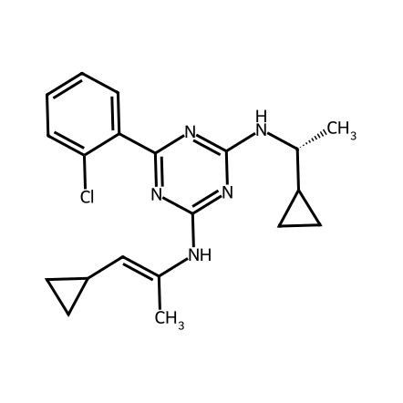 CC(=CC1CC1)Nc1nc(N[C@H](C)C2CC2)nc(-c2ccccc2Cl)n1